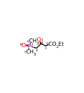 CCOC(=O)CC(=O)CP(C)(C)=O